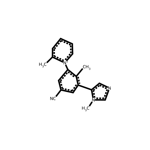 Cc1c(-c2cncn2C)cc(C#N)cc1-[n+]1ccccc1C